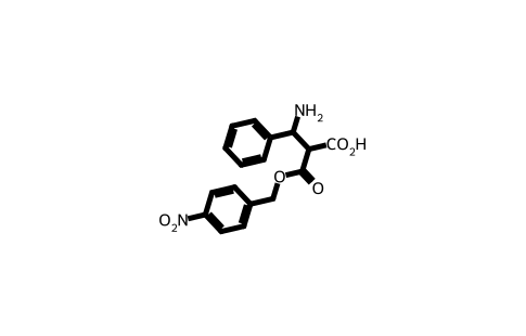 NC(c1ccccc1)C(C(=O)O)C(=O)OCc1ccc([N+](=O)[O-])cc1